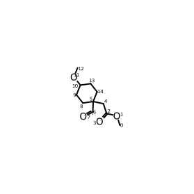 COC(=O)CC1([C]=O)CCC(OC)CC1